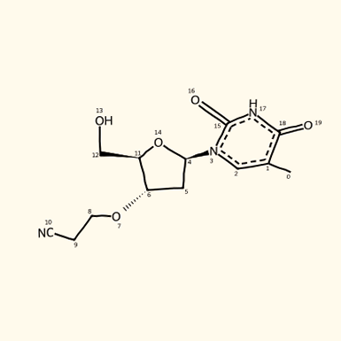 Cc1cn([C@H]2C[C@H](OCCC#N)[C@@H](CO)O2)c(=O)[nH]c1=O